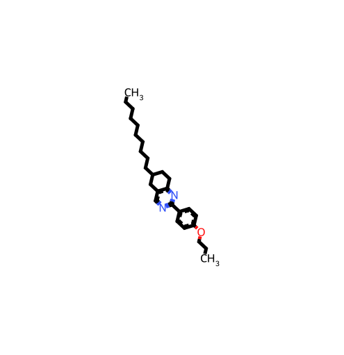 CCCCCCCCCCC1CCc2nc(-c3ccc(OCCC)cc3)ncc2C1